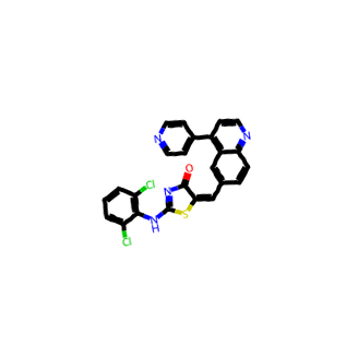 O=C1N=C(Nc2c(Cl)cccc2Cl)SC1=Cc1ccc2nccc(-c3ccncc3)c2c1